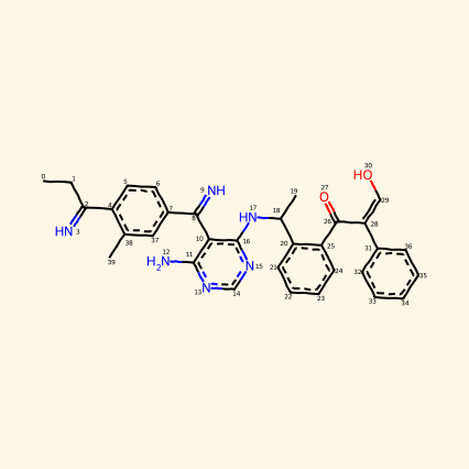 CCC(=N)c1ccc(C(=N)c2c(N)ncnc2NC(C)c2ccccc2C(=O)/C(=C\O)c2ccccc2)cc1C